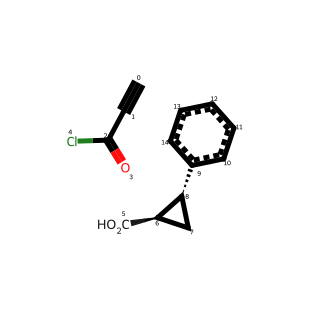 C#CC(=O)Cl.O=C(O)[C@@H]1C[C@H]1c1ccccc1